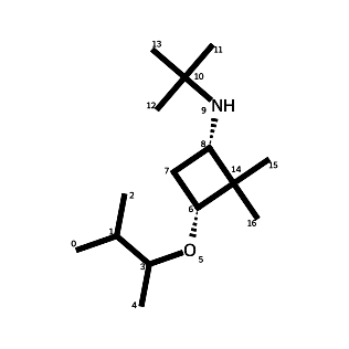 CC(C)C(C)O[C@@H]1C[C@H](NC(C)(C)C)C1(C)C